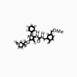 COCc1ccc(C)c(CNC(=O)Nc2c(C)c(OCC3(F)CCN(C)C3)nn2-c2ccccc2)c1